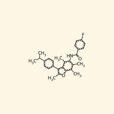 Cc1oc2c(C)c(C)c(NC(=O)c3ccc(F)cc3)c(C)c2c1-c1ccc(C(C)C)cc1